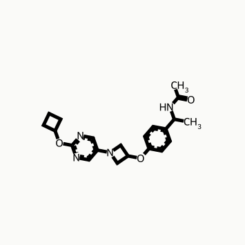 CC(=O)NC(C)c1ccc(OC2CN(c3cnc(OC4CCC4)nc3)C2)cc1